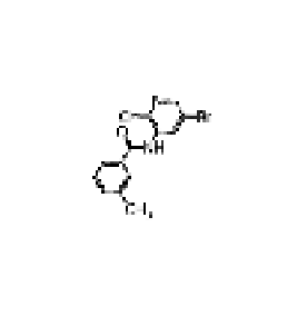 Cc1cccc(C(=O)Nc2cc(Br)cnc2Cl)c1